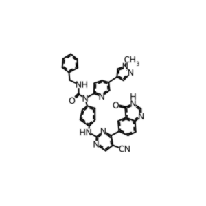 Cn1cc(-c2ccc(N(C(=O)NCc3ccccc3)c3ccc(Nc4ncc(C#N)c(-c5ccc6nc[nH]c(=O)c6c5)n4)cc3)nc2)cn1